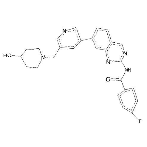 O=C(Nc1ncc2ccc(-c3cncc(CN4CCC(O)CC4)c3)cc2n1)c1ccc(F)cc1